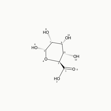 O=C(O)[C@H]1O[C@H](O)[C@H](O)[C@H](O)[C@@H]1O